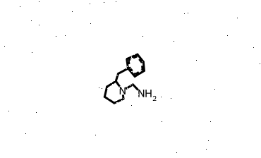 NCN1CCCCC1Cc1ccccc1